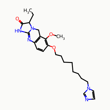 CCC1C(=O)NC2=Nc3ccc(OCCCCCCCCn4ccnc4)c(OC)c3CN21